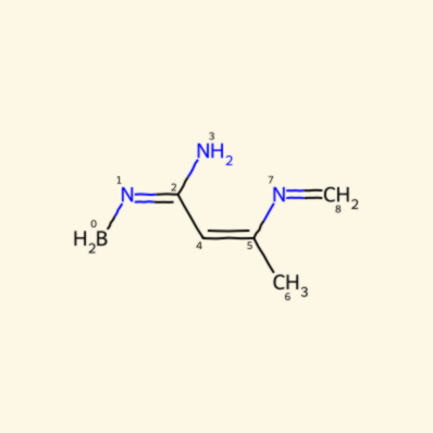 B/N=C(N)\C=C(\C)N=C